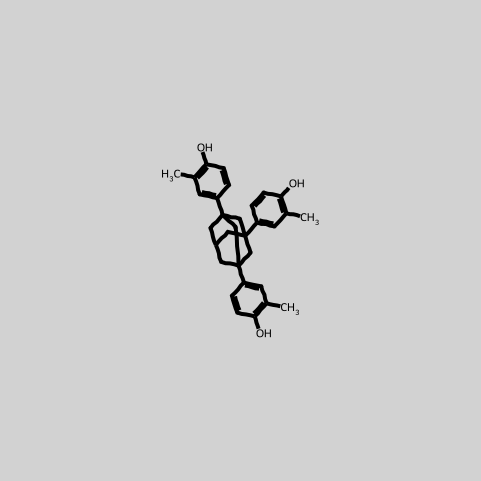 Cc1cc(C23CC4CC(c5ccc(O)c(C)c5)(C2)CC(c2ccc(O)c(C)c2)(C4)C3)ccc1O